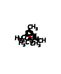 C#CC(Cc1cc(C)cc(C)c1)N(C)C(C)(C)C